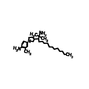 CCCCCCCCCCCCC(C1CCN(c2ccc(N)c(C)c2)C1)C(C)(C)N